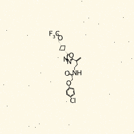 C=C(CCNC(=O)COc1ccc(Cl)cc1)c1nnc([C@H]2C[C@@H](COC(F)(F)F)C2)o1